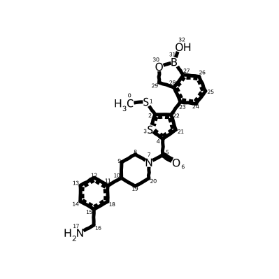 CSc1sc(C(=O)N2CCC(c3cccc(CN)c3)CC2)cc1-c1cccc2c1COB2O